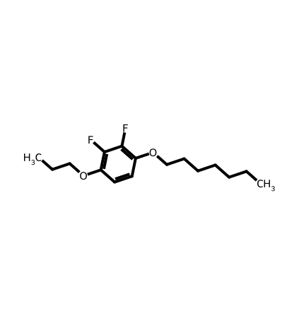 CCCCCCCOc1ccc(OCCC)c(F)c1F